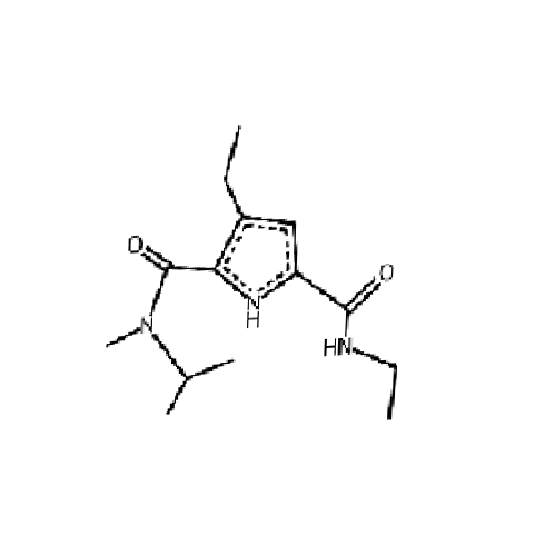 CCNC(=O)c1cc(CC)c(C(=O)N(C)C(C)C)[nH]1